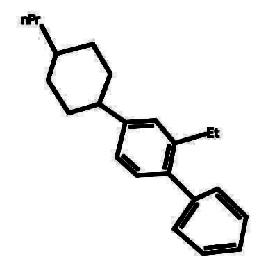 CCCC1CCC(c2ccc(-c3ccccc3)c(CC)c2)CC1